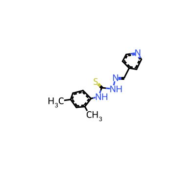 Cc1ccc(NC(=S)NN=Cc2ccncc2)c(C)c1